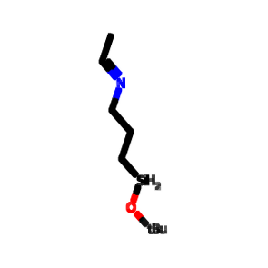 CC=NCCC[SiH2]OC(C)(C)C